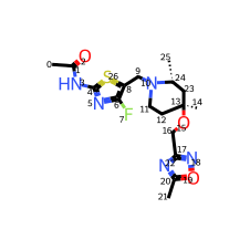 CC(=O)Nc1nc(F)c(CN2CC[C@](C)(OCc3noc(C)n3)C[C@H]2C)s1